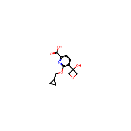 O=C(O)c1ccc(C2(O)COC2)c(OCC2CC2)n1